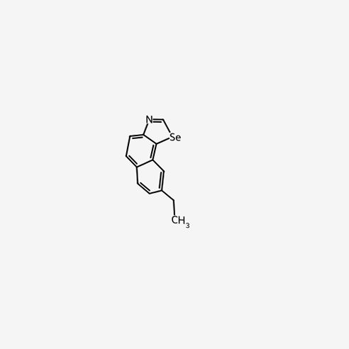 CCc1ccc2ccc3nc[se]c3c2c1